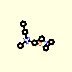 c1ccc(-c2ccc(-c3nc(-c4ccccc4)nc(-c4ccc5oc6c(-n7c8ccccc8c8ccccc87)cccc6c5c4)n3)cc2)cc1